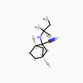 CCC(C)(C)NC1(C#N)C[C@H]2CC[C@@H]1C2